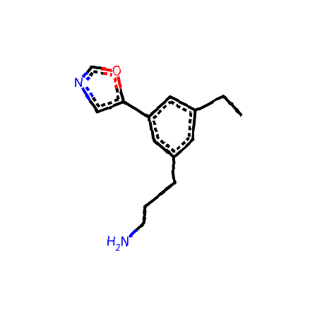 CCc1cc(CCCN)cc(-c2cnco2)c1